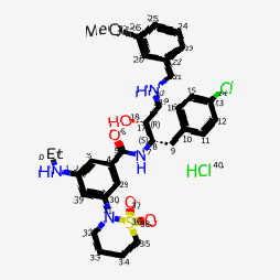 CCNc1cc(C(=O)N[C@@H](Cc2ccc(Cl)cc2)[C@H](O)CNCc2cccc(OC)c2)cc(N2CCCCS2(=O)=O)c1.Cl